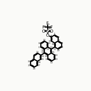 O=S(=O)(Oc1ccc2cccc(-c3c4ccccc4c(-c4ccc5ccccc5c4)c4ccccc34)c2c1)C(F)(F)F